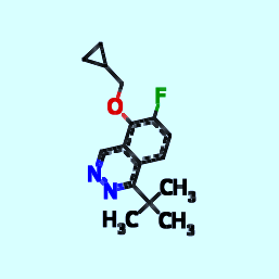 CC(C)(C)c1nncc2c(OCC3CC3)c(F)ccc12